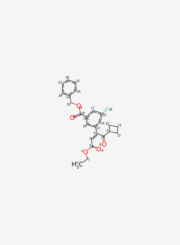 CCOC(=O)/C=C(\C(=O)C1CCC1)c1cc(F)cc(C(=O)OCc2ccccc2)c1